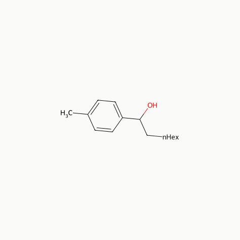 CCCCCCCC(O)c1ccc(C)cc1